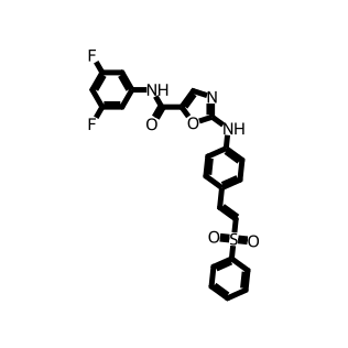 O=C(Nc1cc(F)cc(F)c1)c1cnc(Nc2ccc(/C=C/S(=O)(=O)c3ccccc3)cc2)o1